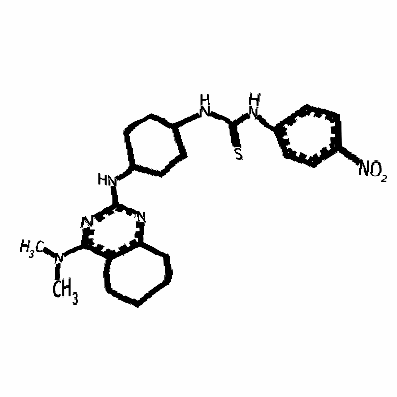 CN(C)c1nc(NC2CCC(NC(=S)Nc3ccc([N+](=O)[O-])cc3)CC2)nc2c1CCCC2